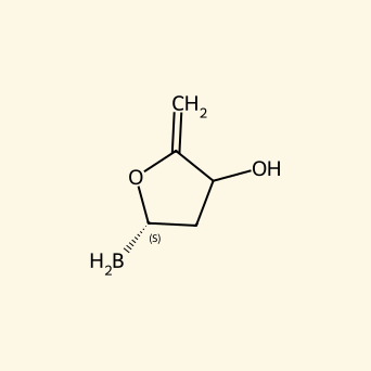 B[C@H]1CC(O)C(=C)O1